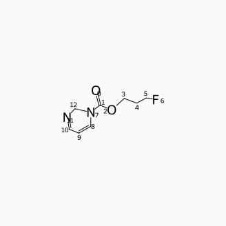 O=C(OCCCF)N1C=CC=NC1